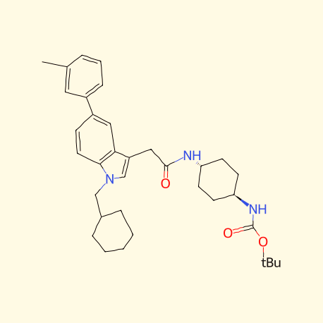 Cc1cccc(-c2ccc3c(c2)c(CC(=O)N[C@H]2CC[C@H](NC(=O)OC(C)(C)C)CC2)cn3CC2CCCCC2)c1